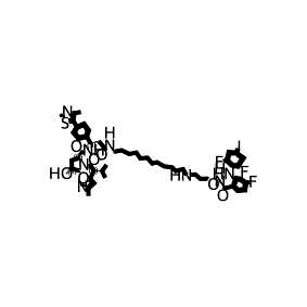 Cc1cc([C@H](C(=O)N2C[C@H](O)C[C@H]2C(=O)N[C@@H](CC(=O)NCCCCCCCCCCCCNCCCONC(=O)c2ccc(F)c(F)c2Nc2ccc(I)cc2F)c2ccc(-c3scnc3C)cc2)C(C)C)on1